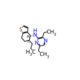 CCC[C@H]1CCc2sccc2[C@@H]1Nc1nc(CC)cnc1CC